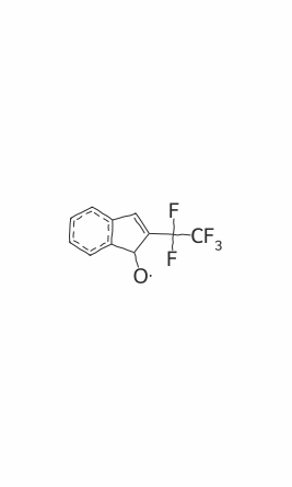 [O]C1C(C(F)(F)C(F)(F)F)=Cc2ccccc21